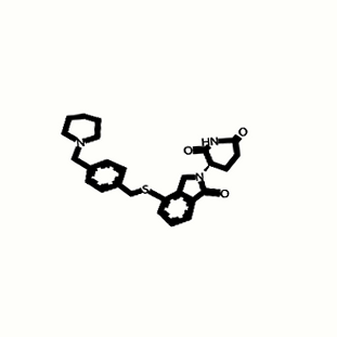 O=C1CC[C@H](N2Cc3c(SCc4ccc(CN5CCCCC5)cc4)cccc3C2=O)C(=O)N1